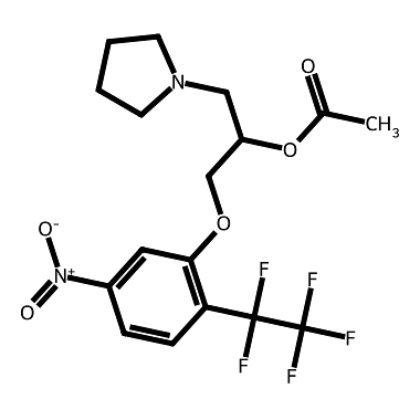 CC(=O)OC(COc1cc([N+](=O)[O-])ccc1C(F)(F)C(F)(F)F)CN1CCCC1